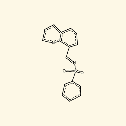 O=S(=O)(/N=C/c1cccc2cccnc12)c1ccccc1